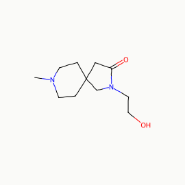 CN1CCC2(CC1)CC(=O)N(CCO)C2